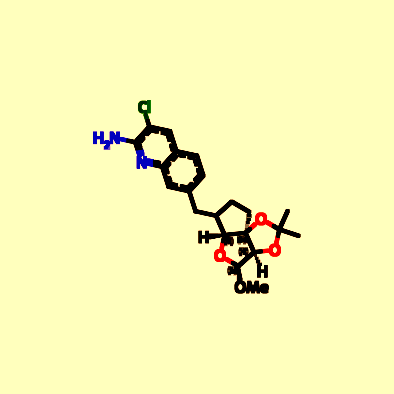 CO[C@H]1O[C@@H]2C(Cc3ccc4cc(Cl)c(N)nc4c3)CC[C@@]23OC(C)(C)O[C@@H]13